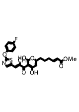 COC(=O)/C=C/CCCC1=CC(O)=C(C(=O)/C(C)=C/c2cnc(Oc3ccc(F)cc3)s2)C(O)O1